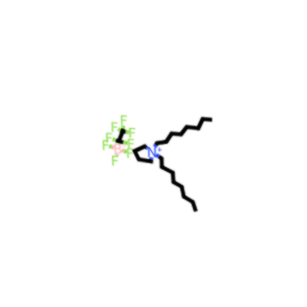 CCCCCCCC[N+]1(CCCCCCCC)CCCC1.F[B-](F)(F)C(F)(F)C(F)(F)F